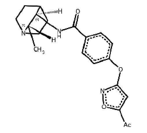 CC(=O)c1cc(Oc2ccc(C(=O)N[C@@H]3C4CCN(CC4)[C@H]3C)cc2)no1